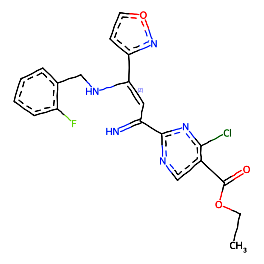 CCOC(=O)c1cnc(C(=N)/C=C(\NCc2ccccc2F)c2ccon2)nc1Cl